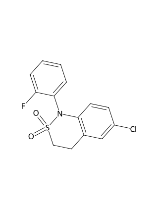 O=S1(=O)CCc2cc(Cl)ccc2N1c1ccccc1F